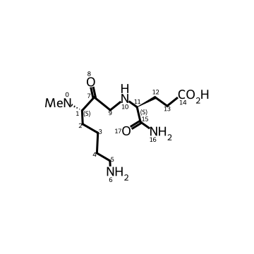 CN[C@@H](CCCCN)C(=O)CN[C@@H](CCC(=O)O)C(N)=O